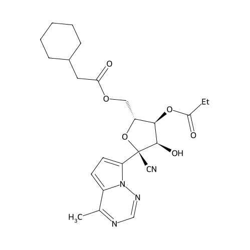 CCC(=O)O[C@H]1[C@@H](O)[C@](C#N)(c2ccc3c(C)ncnn23)O[C@@H]1COC(=O)CC1CCCCC1